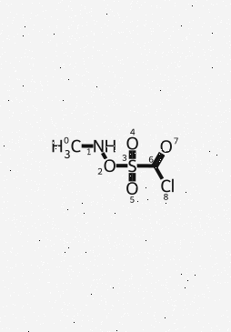 CNOS(=O)(=O)C(=O)Cl